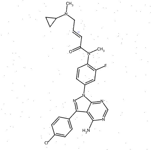 CN(C(=O)/C=C/CN(C)C1CC1)c1ccc(-n2nc(-c3ccc(Cl)cc3)c3c(N)ncnc32)cc1F